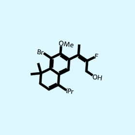 COc1c(/C(C)=C(/F)CO)cc2c(c1Br)C(C)(C)CC=C2C(C)C